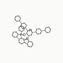 O=P1(c2ccccc2)c2ccccc2-c2ccc3c4ccccc4n(-c4cc(-c5ccc(-c6ccccc6)cc5)nc(-c5ccc(-c6ccccc6)cc5)c4)c3c21